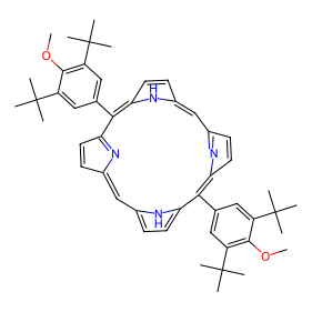 COc1c(C(C)(C)C)cc(-c2c3nc(cc4ccc([nH]4)c(-c4cc(C(C)(C)C)c(OC)c(C(C)(C)C)c4)c4nc(cc5ccc2[nH]5)C=C4)C=C3)cc1C(C)(C)C